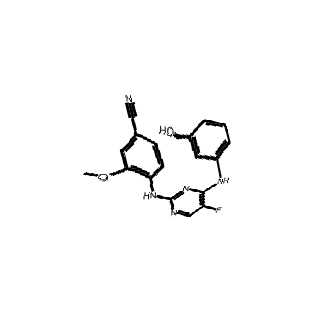 COc1cc(C#N)ccc1Nc1ncc(F)c(Nc2cccc(O)c2)n1